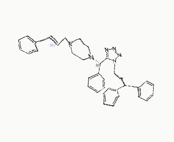 C(=C\c1ccccc1)/CN1CCN([C@@H](c2ccccc2)c2nnnn2CCC(c2ccccc2)c2ccccc2)CC1